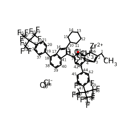 CCC1=C2c3c(cc(C4C(C5CCCCC5)=Cc5c(-c6ccc(C(C(F)(F)F)(C(F)(F)F)C(F)(F)F)cc6)cccc54)c(c3-c3ccc(C(C(F)(F)F)(C(F)(F)F)C(F)(F)F)cc3)[Si]2(C)C)[CH]1[Zr+2].[Cl-].[Cl-]